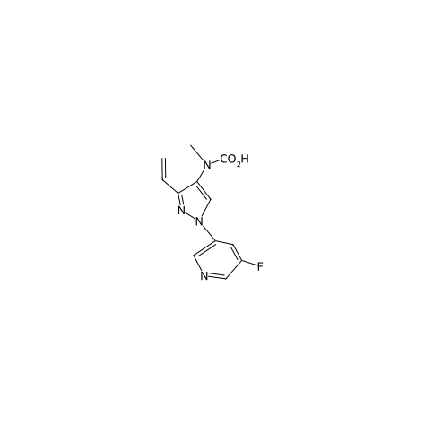 C=Cc1nn(-c2cncc(F)c2)cc1N(C)C(=O)O